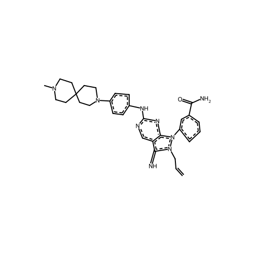 C=CCn1c(=N)c2cnc(Nc3ccc(N4CCC5(CCN(C)CC5)CC4)cc3)nc2n1-c1cccc(C(N)=O)c1